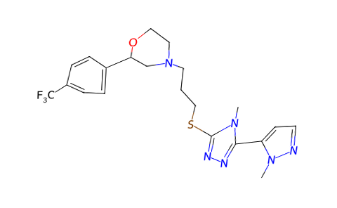 Cn1nccc1-c1nnc(SCCCN2CCOC(c3ccc(C(F)(F)F)cc3)C2)n1C